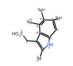 [2H]c1cc2[nH]c([2H])c(CC(=O)O)c2c([2H])c1[2H]